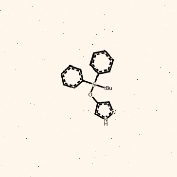 CC(C)(C)[Si](Oc1cn[nH]c1)(c1ccccc1)c1ccccc1